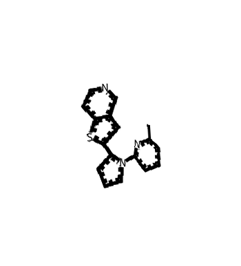 Cc1cccc(-n2cccc2-c2cc3cnccc3s2)n1